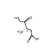 N[C@@H](CC(=O)O)C(=O)CO